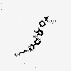 NCCCNc1ncc(-c2ccnc(Nc3cccc(OC4CCN(C5(C(=O)O)CC5)CC4)c3F)c2)cn1